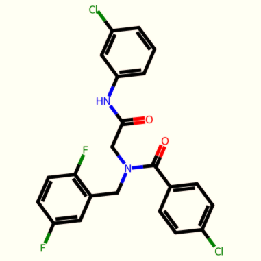 O=C(CN(Cc1cc(F)ccc1F)C(=O)c1ccc(Cl)cc1)Nc1cccc(Cl)c1